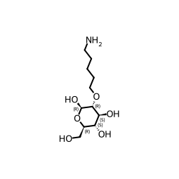 NCCCCCO[C@@H]1[C@@H](O)[C@H](O)[C@@H](CO)O[C@H]1O